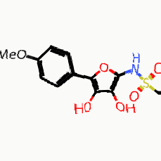 COc1ccc(-c2oc(NS(C)(=O)=O)c(O)c2O)cc1